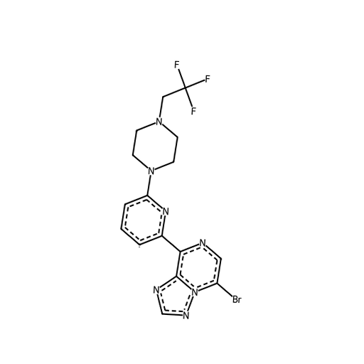 FC(F)(F)CN1CCN(c2cc[c]c(-c3ncc(Br)n4ncnc34)n2)CC1